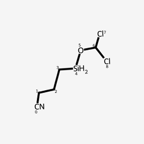 N#CCCC[SiH2]OC(Cl)Cl